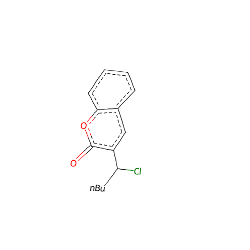 CCCCC(Cl)c1cc2ccccc2oc1=O